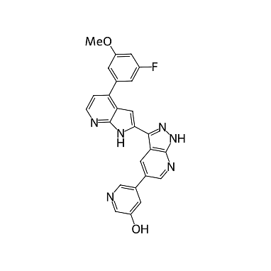 COc1cc(F)cc(-c2ccnc3[nH]c(-c4n[nH]c5ncc(-c6cncc(O)c6)cc45)cc23)c1